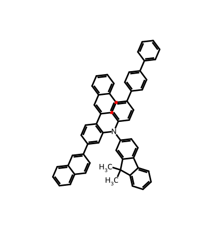 CC1(C)c2ccccc2-c2ccc(N(c3ccc(-c4ccc(-c5ccccc5)cc4)cc3)c3cc(-c4ccc5ccccc5c4)ccc3-c3ccc4ccccc4c3)cc21